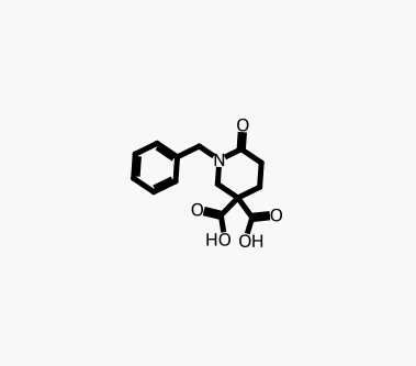 O=C1CCC(C(=O)O)(C(=O)O)CN1Cc1ccccc1